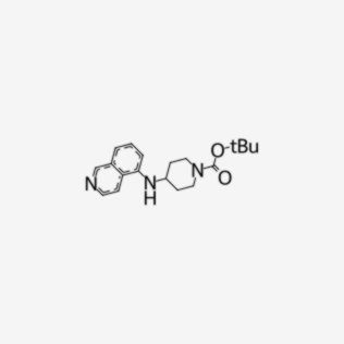 CC(C)(C)OC(=O)N1CCC(Nc2cccc3cnccc23)CC1